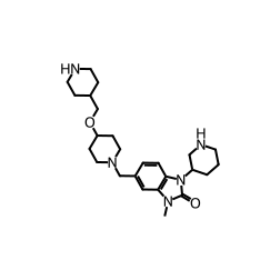 Cn1c(=O)n(C2CCCNC2)c2ccc(CN3CCC(OCC4CCNCC4)CC3)cc21